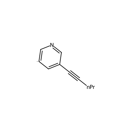 CCCC#Cc1c[c]cnc1